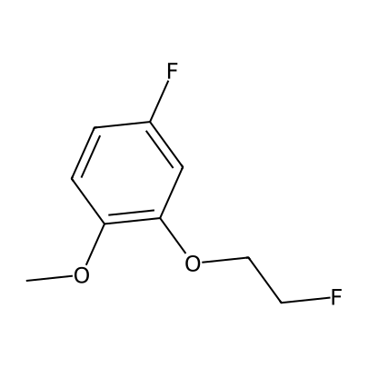 COc1ccc(F)cc1OCCF